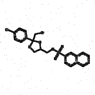 O=S(=O)(OCC1COC(CBr)(c2ccc(Cl)cc2)O1)c1ccc2ccccc2c1